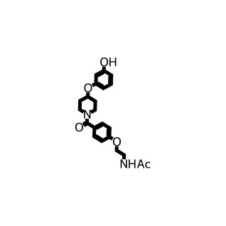 CC(=O)NCCOc1ccc(C(=O)N2CCC(Oc3cccc(O)c3)CC2)cc1